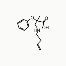 C=CCCNCC(C)(Oc1ccccc1)C(=O)O